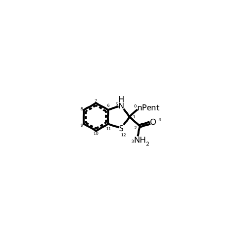 CCCCCC1(C(N)=O)Nc2ccccc2S1